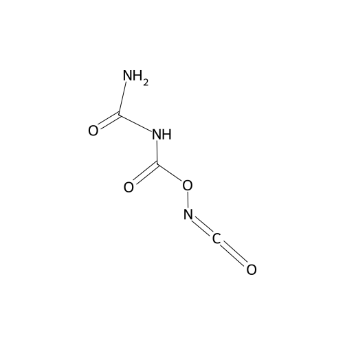 NC(=O)NC(=O)ON=C=O